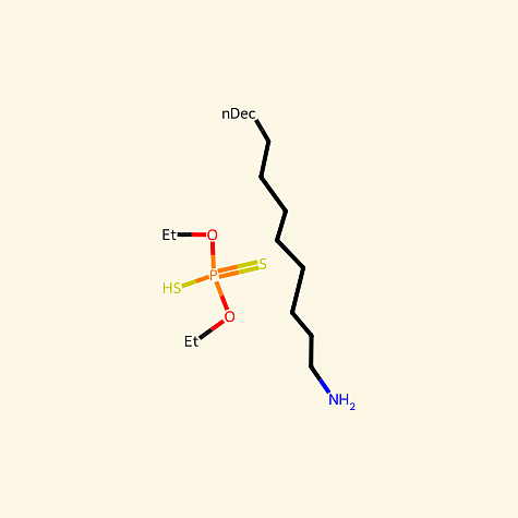 CCCCCCCCCCCCCCCCCCN.CCOP(=S)(S)OCC